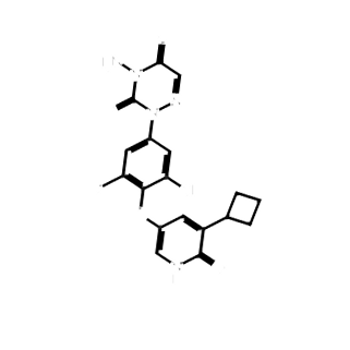 Nn1c(=O)cnn(-c2cc(Cl)c(Oc3c[nH]c(=O)c(C4CCC4)c3)c(Cl)c2)c1=O